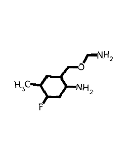 CC1CC(COCN)C(N)CC1F